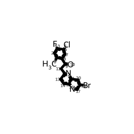 Cc1cc(F)c(Cl)cc1C(=O)Cc1ccc2ncc(Br)cc2n1